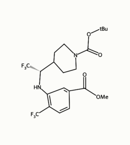 COC(=O)c1ccc(C(F)(F)F)c(N[C@@H](C2CCN(C(=O)OC(C)(C)C)CC2)C(F)(F)F)c1